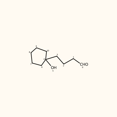 O=CCCCC1(O)CCCCC1